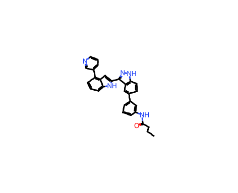 CCCC(=O)Nc1cccc(-c2ccc3[nH]nc(-c4cc5c(-c6cccnc6)cccc5[nH]4)c3c2)c1